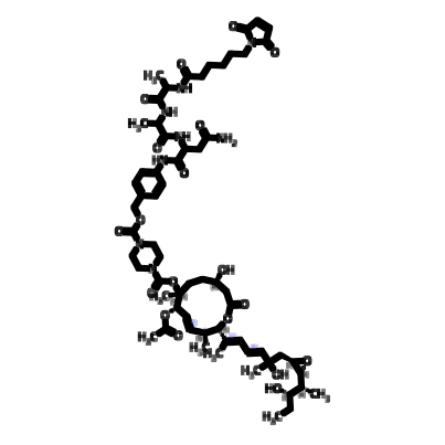 CC[C@H](O)[C@@H](C)[C@H]1O[C@@H]1CC(C)(O)/C=C/C=C(\C)[C@H]1OC(=O)C[C@H](O)CC[C@@](C)(OC(=O)N2CCN(C(=O)OCc3ccc(NC(=O)C(CC(N)=O)NC(=O)C(C)NC(=O)C(C)NC(=O)CCCCCN4C(=O)C=CC4=O)cc3)CC2)[C@@H](OC(C)=O)/C=C/[C@@H]1C